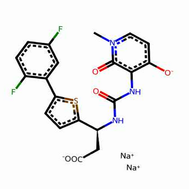 Cn1ccc([O-])c(NC(=O)N[C@@H](CC(=O)[O-])c2ccc(-c3cc(F)ccc3F)s2)c1=O.[Na+].[Na+]